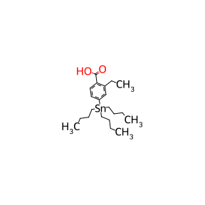 CCC[CH2][Sn]([CH2]CCC)([CH2]CCC)[c]1ccc(C(=O)O)c(CC)c1